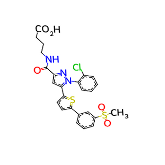 CS(=O)(=O)c1cccc(-c2ccc(-c3cc(C(=O)NCCCC(=O)O)nn3-c3ccccc3Cl)s2)c1